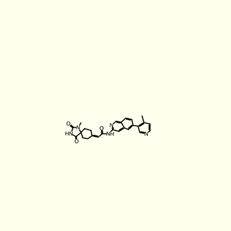 Cc1ccncc1-c1ccc2cnc(NC(=O)C=C3CCC4(CC3)C(=O)NC(=O)N4C)cc2c1